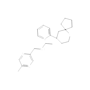 Cc1cnc(CNCC[C@@]2(c3ccccn3)CCOC3(CCCC3)C2)cn1